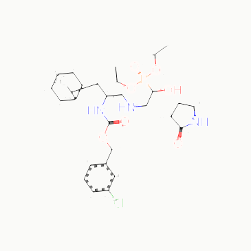 CCOP(=O)(OCC)C(O)[C@H](C[C@@H]1CCNC1=O)NCC(CC1CC2CCC1CC2)NC(=O)OCc1cccc(Cl)c1